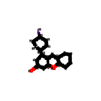 O=c1cc2oc3ccccc3cc-2c(-c2ccc(I)cc2)c1